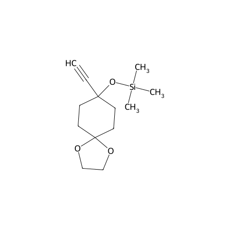 C#CC1(O[Si](C)(C)C)CCC2(CC1)OCCO2